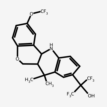 CC1(C)c2cc(C(O)(C(F)(F)F)C(F)(F)F)ccc2NC2c3cc(OC(F)(F)F)ccc3OCC21